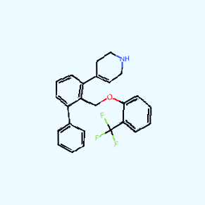 FC(F)(F)c1ccccc1OCc1c(C2=CCNCC2)cccc1-c1ccccc1